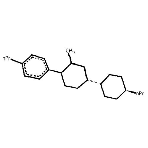 CCCc1ccc(C2CCC([C@H]3CC[C@H](CCC)CC3)CC2C)cc1